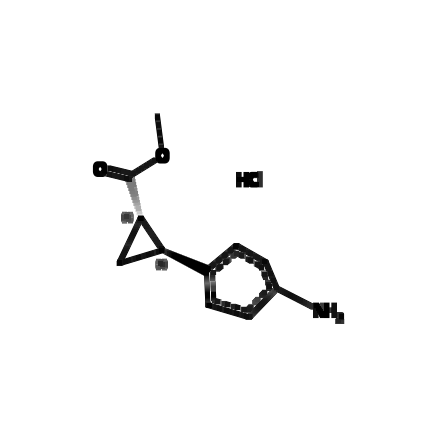 COC(=O)[C@H]1C[C@@H]1c1ccc(N)cc1.Cl